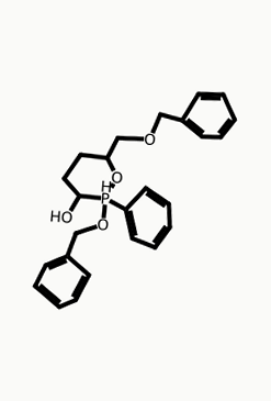 OC1CCC(COCc2ccccc2)O[PH]1(OCc1ccccc1)c1ccccc1